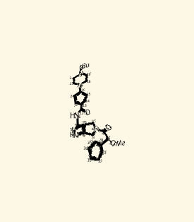 CO[C@@H](C(=O)N1Cc2[nH]nc(NC(=O)c3ccc(N4CCN(C(C)(C)C)CC4)cc3)c2C1)c1ccccc1